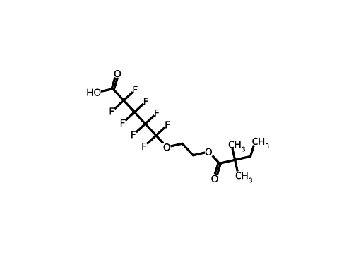 CCC(C)(C)C(=O)OCCOC(F)(F)C(F)(F)C(F)(F)C(F)(F)C(=O)O